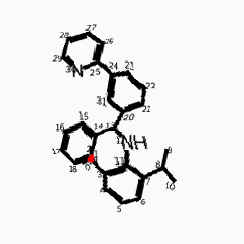 CC(C)c1cccc(C(C)C)c1NC(c1ccccc1)c1cccc(-c2ccccn2)c1